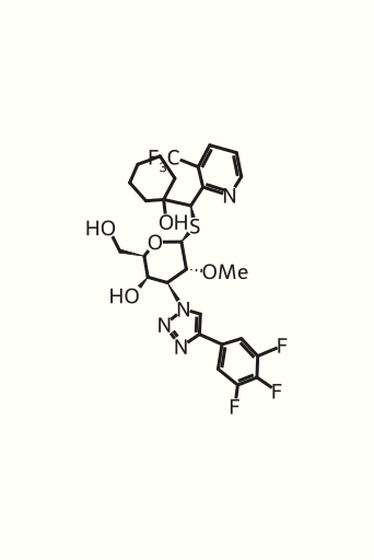 CO[C@@H]1[C@@H](n2cc(-c3cc(F)c(F)c(F)c3)nn2)[C@@H](O)[C@@H](CO)O[C@H]1S[C@H](c1ncccc1C(F)(F)F)C1(O)CCCCC1